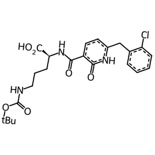 CC(C)(C)OC(=O)NCCC[C@H](NC(=O)c1ccc(Cc2ccccc2Cl)[nH]c1=O)C(=O)O